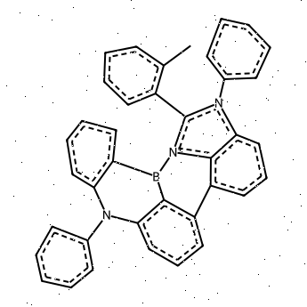 Cc1ccccc1-c1n(-c2ccccc2)c2cccc3c2[n+]1B1c2ccccc2N(c2ccccc2)c2cccc-3c21